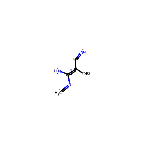 C=N/C(N)=C(/C=N)C=O